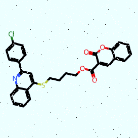 O=C(OCCCCSc1cc(-c2ccc(Cl)cc2)nc2ccccc12)c1cc2ccccc2oc1=O